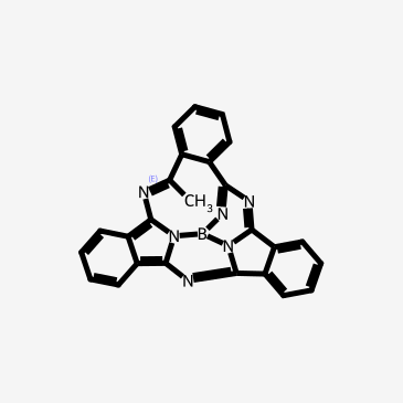 C/C1=N\c2c3ccccc3c3n2B2N=C(N=c4c5ccccc5c(n42)=N3)c2ccccc21